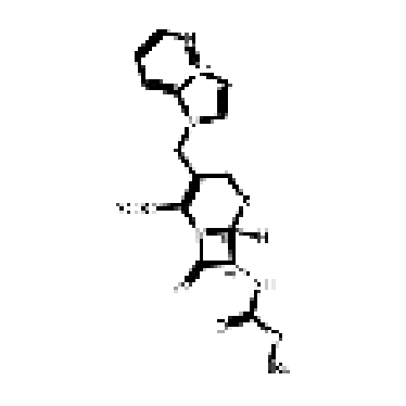 CC(C)(C)OC(=O)N[C@@H]1C(=O)N2C(C(=O)[O-])=C(Cn3cc[n+]4ncccc34)CS[C@H]12